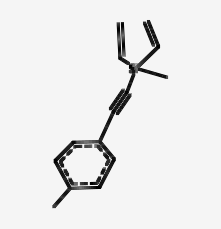 C=C[Si](C)(C#Cc1ccc(C)cc1)C=C